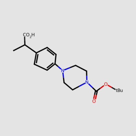 CC(C(=O)O)c1ccc(N2CCN(C(=O)OC(C)(C)C)CC2)cc1